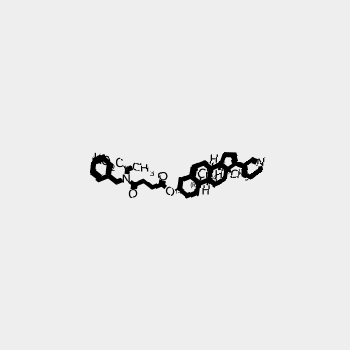 C[C@@H](C(=O)O)N(Cc1ccccc1)C(=O)CCC(=O)O[C@H]1CC[C@@]2(C)C(=CC[C@@H]3[C@@H]2CC[C@]2(C)C(c4cccnc4)=CC[C@@H]32)C1